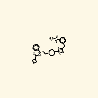 NS(=O)(=O)c1cccc(Cc2noc(C3CCN(CC[C@H](NC(=O)C4CCC4)c4ccccc4)CC3)n2)c1